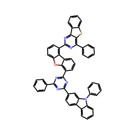 c1ccc(-c2nc(-c3ccc4c5ccccc5n(-c5ccccc5)c4c3)nc(-c3cccc4c3oc3cccc(-c5nc(-c6ccccc6)c6sc7ccccc7c6n5)c34)n2)cc1